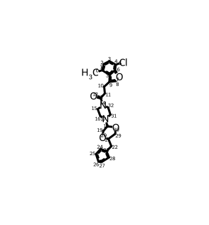 Cc1ccc(Cl)c2occ(CCC(=O)N3CCN(C4COC(Cc5ccccc5)CO4)CC3)c12